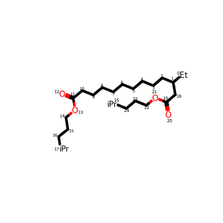 CCC(CCCCCCCCCC(=O)OCCCC(C)C)CC(=O)OCCCC(C)C